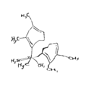 CC1=CC[C]([Zr]([CH3])([CH3])(=[SiH2])[C]2=C(C)C(C)=CC2)=C1C